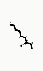 C=CC=CCCC(=O)CC